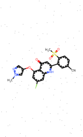 Cn1cc(Oc2cc(F)cc3[nH]c(-c4cc(C#N)ccc4S(C)(=O)=O)cc(=O)c23)cn1